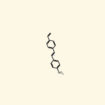 C=Cc1ccc(/C=C/c2ccc([N+](=O)[O-])cc2)cc1